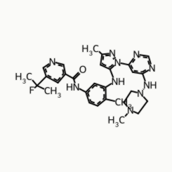 Cc1cc(Nc2cc(NC(=O)c3cncc(C(C)(C)F)c3)ccc2C)n(-c2cc(NN3CCN(C)CC3)ncn2)n1